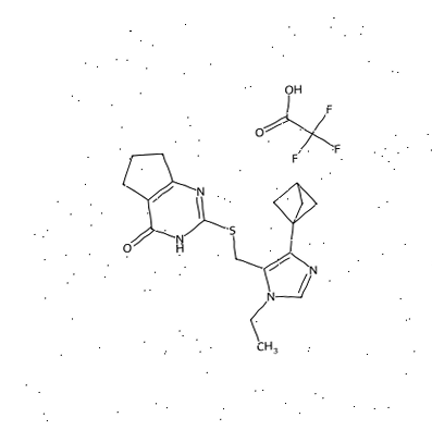 CCn1cnc(C23CC(C2)C3)c1CSc1nc2c(c(=O)[nH]1)CCC2.O=C(O)C(F)(F)F